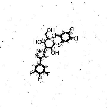 OCC1O[C@H](Sc2cc(Cl)c(Cl)cc2Cl)C(O)C(n2cc(-c3cc(F)c(F)c(F)c3)nn2)[C@H]1O